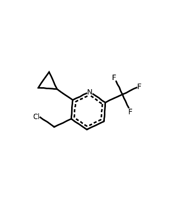 FC(F)(F)c1ccc(CCl)c(C2CC2)n1